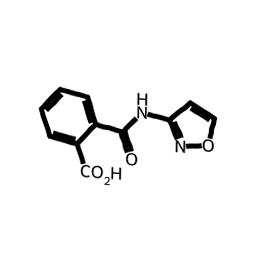 O=C(O)c1ccccc1C(=O)Nc1ccon1